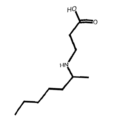 CCCCCC(C)NCCC(=O)O